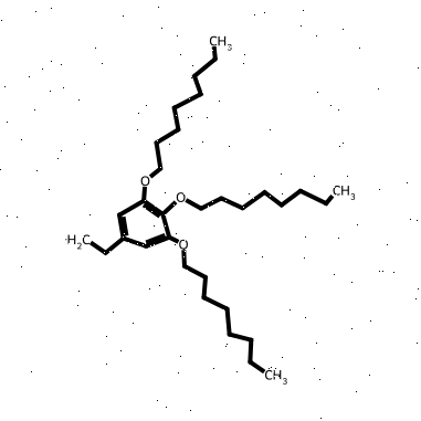 [CH2]Cc1cc(OCCCCCCCC)c(OCCCCCCCC)c(OCCCCCCCC)c1